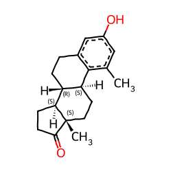 Cc1cc(O)cc2c1[C@H]1CC[C@]3(C)C(=O)CC[C@H]3[C@@H]1CC2